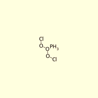 ClOOOCl.P